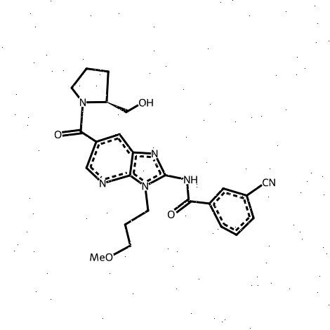 COCCCn1c(NC(=O)c2cccc(C#N)c2)nc2cc(C(=O)N3CCC[C@H]3CO)cnc21